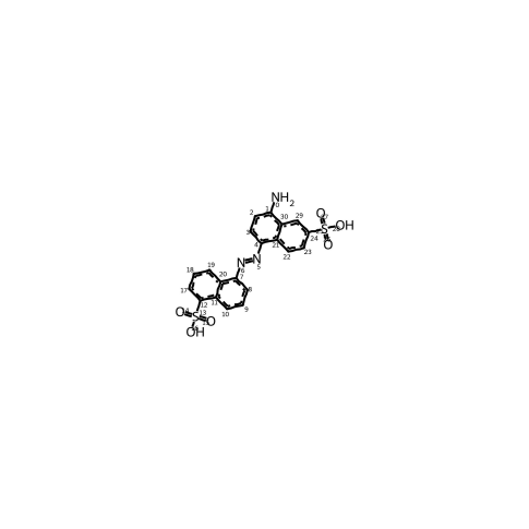 Nc1ccc(N=Nc2cccc3c(S(=O)(=O)O)cccc23)c2ccc(S(=O)(=O)O)cc12